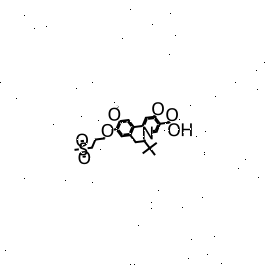 COc1cc2c(cc1OCCCS(C)(=O)=O)CC(C(C)(C)C)n1cc(C(=O)O)c(=O)cc1-2